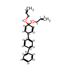 C=CCOC1(OCC=C)C=CC(c2ccc(-c3ccccc3)cc2)C=C1